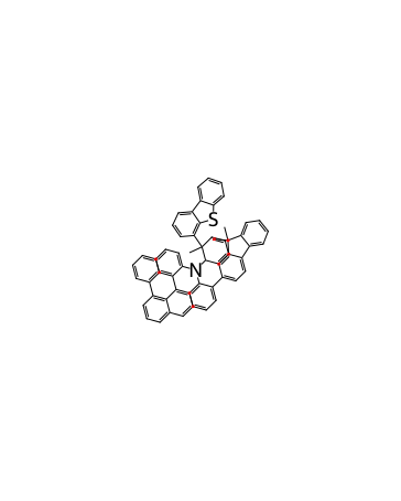 CC1(C)c2ccccc2-c2ccc(-c3ccccc3N(c3ccccc3-c3cccc4cccc(-c5ccccc5)c34)C3C=CC=CC3(C)c3cccc4c3sc3ccccc34)cc21